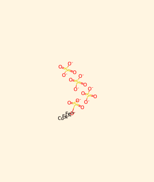 O=S(=O)([O-])[O-].O=S(=O)([O-])[O-].O=S(=O)([O-])[O-].O=S(=O)([O-])[O-].[Cu+2].[Fe+3].[Fe+3]